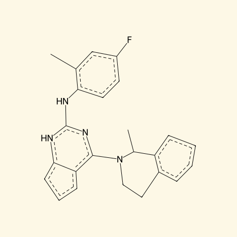 Cc1cc(F)ccc1Nc1nc(N2CCc3ccccc3C2C)c2cccc-2[nH]1